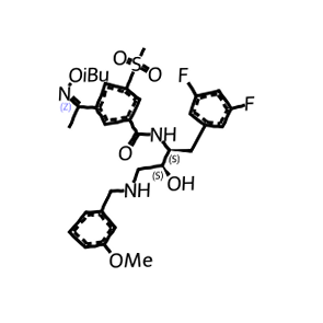 COc1cccc(CNC[C@H](O)[C@H](Cc2cc(F)cc(F)c2)NC(=O)c2cc(/C(C)=N\OCC(C)C)cc(S(C)(=O)=O)c2)c1